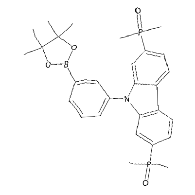 CC1(C)OB(c2cccc(-n3c4cc(P(C)(C)=O)ccc4c4ccc(P(C)(C)=O)cc43)c2)OC1(C)C